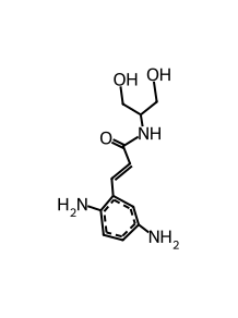 Nc1ccc(N)c(C=CC(=O)NC(CO)CO)c1